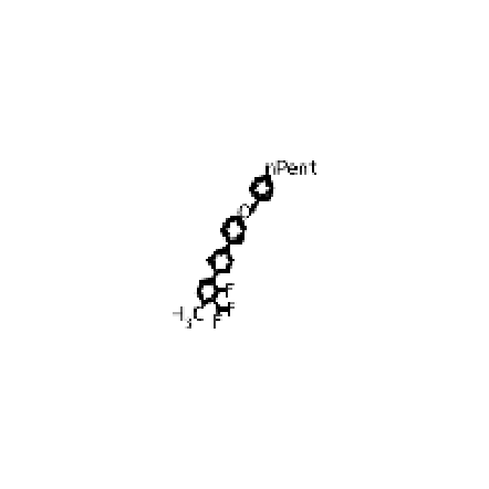 CCCCCc1ccc(COc2ccc(-c3ccc(-c4ccc(C)c(C(F)F)c4F)cc3)cc2)cc1